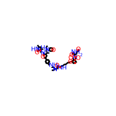 C=C(CC(C(=O)NCc1c(C)cc(C)[nH]c1=O)/C(C)=C/N(CC)C1CCOCC1)c1ccc(CNCCN(CC)CC(=O)NCCCCCCOc2cccc3c2C(=O)N(C(CCC=O)C(N)=O)C3=O)cc1